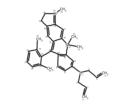 C=CCN(CC=C)c1ccc2c(c1)[Si](C)(C)c1cc3c(cc1=C2c1c(C)cccc1C)CC[N+]=3C